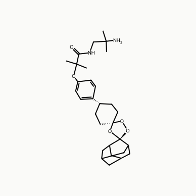 CC(C)(N)CNC(=O)C(C)(C)Oc1ccc([C@H]2CC[C@]3(CC2)OO[C@]2(O3)C3CC4CC(C3)CC2C4)cc1